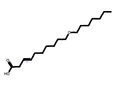 CCCCCCCOCCCCCC/C=C/CC(=O)O